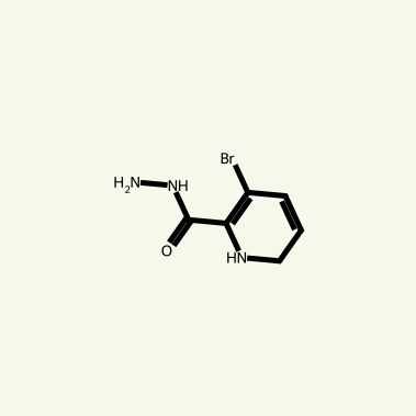 NNC(=O)C1=C(Br)C=CCN1